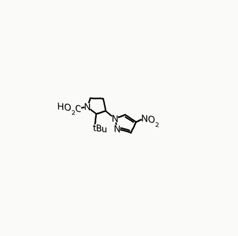 CC(C)(C)C1C(n2cc([N+](=O)[O-])cn2)CCN1C(=O)O